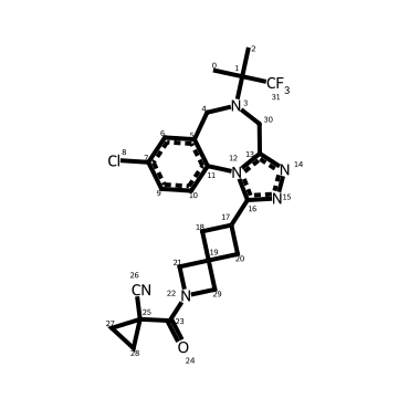 CC(C)(N1Cc2cc(Cl)ccc2-n2c(nnc2C2CC3(C2)CN(C(=O)C2(C#N)CC2)C3)C1)C(F)(F)F